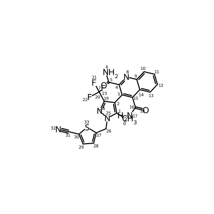 Cc1c(-c2c(C(N)=O)nc3ccccc3c2C(N)=O)c(C(F)(F)F)nn1Cc1ccc(C#N)s1